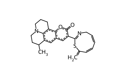 C=C1/C=C\C=C/C/N=C(/c2cc3cc4c5c(c3oc2=O)CCCN5CCC4C)S1